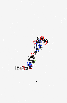 C[C@H](NC(=O)c1ccco1)C(=O)N1CCCN(CCCOc2ccc(-c3noc(CCOC(C)(C)C)n3)c(F)c2)CC1